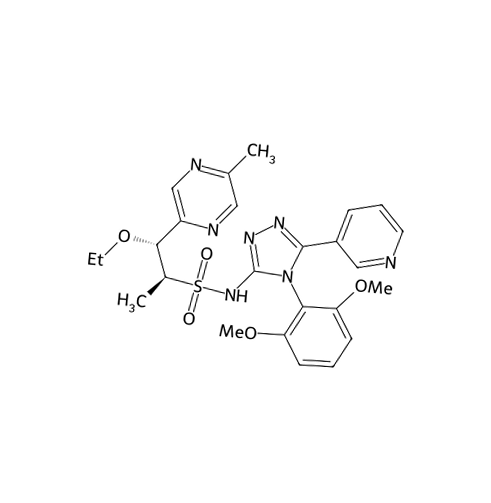 CCO[C@H](c1cnc(C)cn1)[C@H](C)S(=O)(=O)Nc1nnc(-c2cccnc2)n1-c1c(OC)cccc1OC